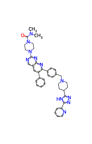 CN(C)C(=O)N1CCN(c2ncc3cc(-c4ccccc4)c(-c4ccc(CN5CCC(c6nnc(-c7ccccn7)[nH]6)CC5)cc4)nc3n2)CC1